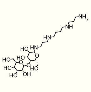 NCCCNCCCCNCCCNC1O[C@H](CO)[C@@H](O[C@@H]2O[C@H](CO)[C@H](O)[C@H](O)[C@H]2O)[C@H](O)[C@H]1O